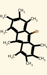 Cc1c(C)c(C)c2c(Br)c3c(C)c(C)c(C)c(C)c3c(C)c2c1C